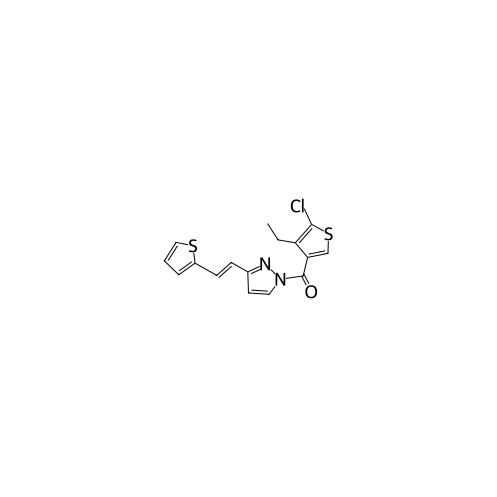 CCc1c(C(=O)n2ccc(/C=C/c3cccs3)n2)csc1Cl